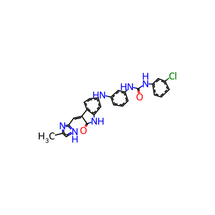 Cc1c[nH]c(C=C2C(=O)Nc3cc(Nc4cccc(NC(=O)Nc5cccc(Cl)c5)c4)ccc32)n1